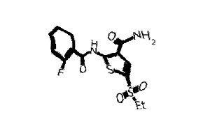 CCS(=O)(=O)c1cc(C(N)=O)c(NC(=O)C2=C(F)C=CCC2)s1